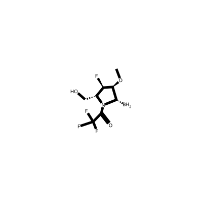 B[C@H]1[C@H](OC)[C@H](F)[C@@H](CO)N1C(=O)C(F)(F)F